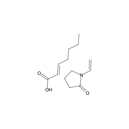 C=CN1CCCC1=O.CCCCC=CC(=O)O